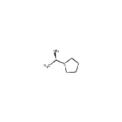 C[C@H](N1CCCC1)C(C)(C)C